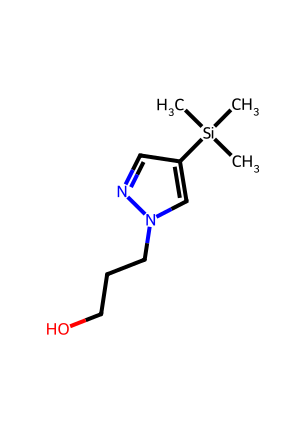 C[Si](C)(C)c1cnn(CCCO)c1